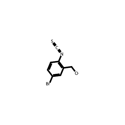 [O]Cc1cc(Br)ccc1N=C=S